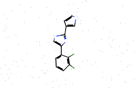 Clc1cccc(-c2c[nH]c(-c3cc[nH]c3)n2)c1Cl